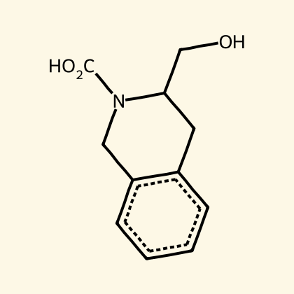 O=C(O)N1Cc2ccccc2CC1CO